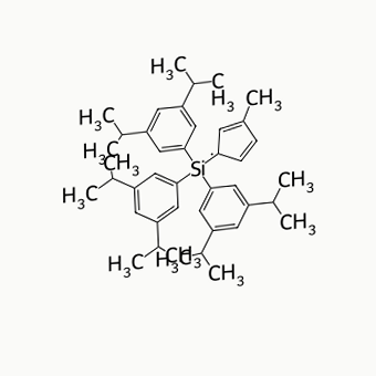 CC1=C[C]([Si](c2cc(C(C)C)cc(C(C)C)c2)(c2cc(C(C)C)cc(C(C)C)c2)c2cc(C(C)C)cc(C(C)C)c2)C=C1